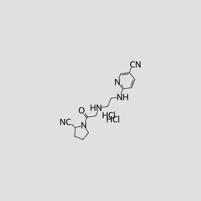 Cl.Cl.N#Cc1ccc(NCCNCC(=O)N2CCCC2C#N)nc1